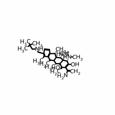 C=C(N)C1=C(O)[C@@H](N(C)C)[C@@H]2[C@@H](O)[C@H]3C(C(=C)c4c(ccc(CNCC(C)(C)C)c4C)[C@@H]3C)[C@H](C)[C@]2(O)C1=C